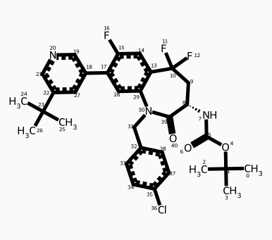 CC(C)(C)OC(=O)N[C@H]1CC(F)(F)c2cc(F)c(-c3cncc(C(C)(C)C)c3)cc2N(Cc2ccc(Cl)cc2)C1=O